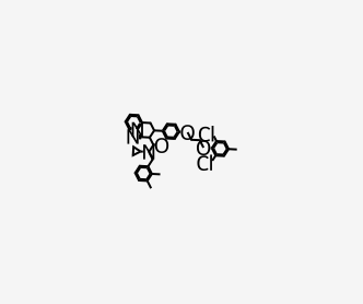 Cc1cc(Cl)c(OCCOc2ccc(C(Cc3ccccn3)C(C#N)C(=O)N(Cc3cccc(C)c3C)C3CC3)cc2)c(Cl)c1